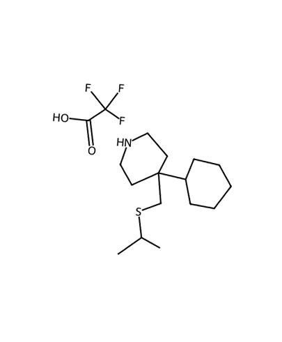 CC(C)SCC1(C2CCCCC2)CCNCC1.O=C(O)C(F)(F)F